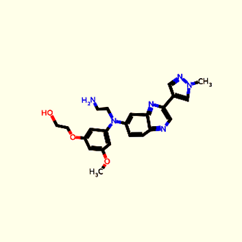 COc1cc(OCCO)cc(N(CCN)c2ccc3ncc(-c4cnn(C)c4)nc3c2)c1